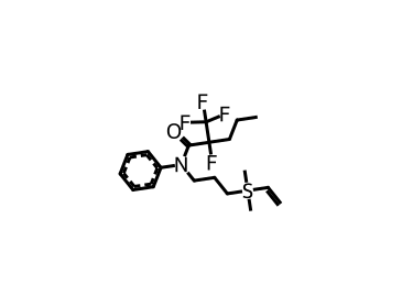 C=CS(C)(C)CCCN(C(=O)C(F)(CCC)C(F)(F)F)c1ccccc1